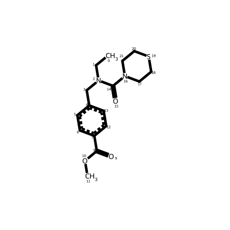 CCN(Cc1ccc(C(=O)OC)cc1)C(=O)N1CCSCC1